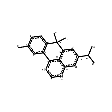 Cc1ccc2c(c1)-c1ncnc3cc(C(C)C)cc(c13)C2(C)C